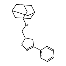 c1ccc(C2=NOC(CNC34CC5CC(CC(C5)C3)C4)C2)cc1